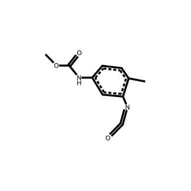 COC(=O)Nc1ccc(C)c(N=C=O)c1